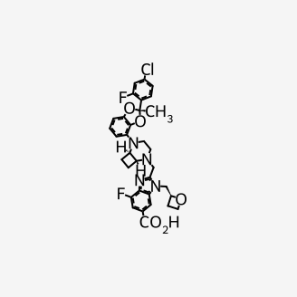 C[C@]1(c2ccc(Cl)cc2F)Oc2cccc(N3CCN(Cc4nc5c(F)cc(C(=O)O)cc5n4C[C@@H]4CCO4)[C@@H]4CC[C@H]43)c2O1